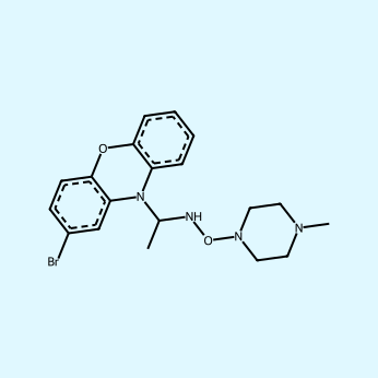 CC(NON1CCN(C)CC1)N1c2ccccc2Oc2ccc(Br)cc21